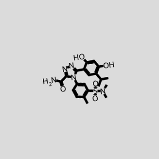 Cc1ccc(-n2c(C(N)=O)nnc2-c2cc(C(C)C)c(O)cc2O)cc1S(=O)(=O)N(C)C